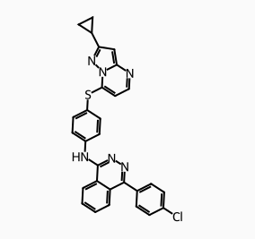 Clc1ccc(-c2nnc(Nc3ccc(Sc4ccnc5cc(C6CC6)nn45)cc3)c3ccccc23)cc1